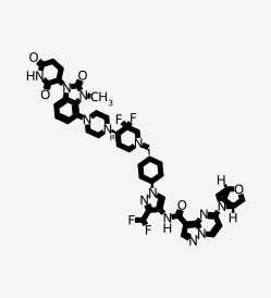 Cn1c(=O)n(C2CCC(=O)NC2=O)c2cccc(N3CCN([C@@H]4CCN(C[C@H]5CC[C@H](n6cc(NC(=O)c7cnn8ccc(N9C[C@H]%10C[C@@H]9CO%10)nc78)c(C(F)F)n6)CC5)CC4(F)F)CC3)c21